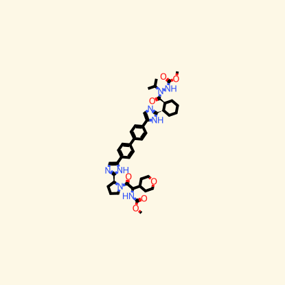 COC(=O)NC(C(=O)N1CCC[C@H]1c1ncc(-c2ccc(-c3ccc(-c4cnc([C@H]5CCCC[C@@H]5C(=O)N(NC(=O)OC)C(C)C)[nH]4)cc3)cc2)[nH]1)C1CCOCC1